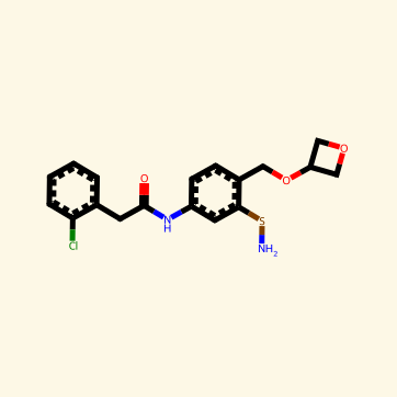 NSc1cc(NC(=O)Cc2ccccc2Cl)ccc1COC1COC1